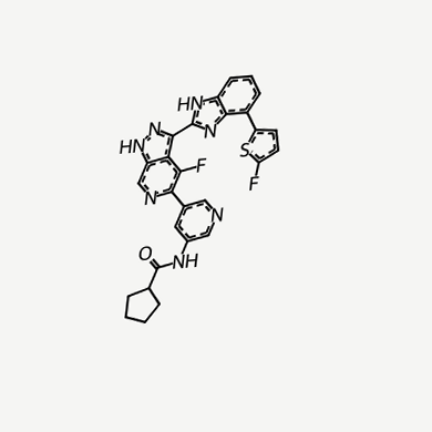 O=C(Nc1cncc(-c2ncc3[nH]nc(-c4nc5c(-c6ccc(F)s6)cccc5[nH]4)c3c2F)c1)C1CCCC1